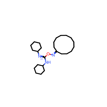 C1CCCCCC(=NO/C(=N\C2CCCCC2)NC2CCCCC2)CCCCC1